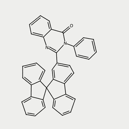 O=c1c2ccccc2nc(-c2ccc3c(c2)C2(c4ccccc4-c4ccccc42)c2ccccc2-3)n1-c1ccccc1